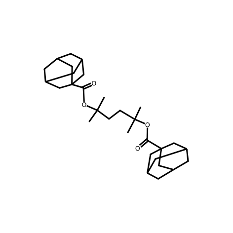 CC(C)(CCC(C)(C)OC(=O)C12CC3CC(CC(C3)C1)C2)OC(=O)C12CC3CC(CC(C3)C1)C2